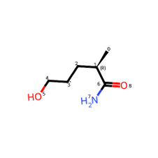 C[C@H](C[CH]CO)C(N)=O